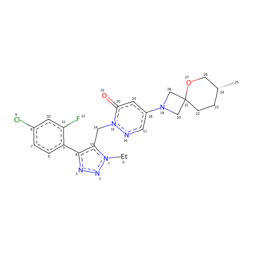 CCn1nnc(-c2ccc(Cl)cc2F)c1Cn1ncc(N2CC3(CC[C@@H](C)CO3)C2)cc1=O